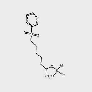 CC[Si](CC)(CC)OC(C)CCCCCS(=O)(=O)c1ccccc1